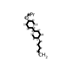 C=CCCC[C@H]1CC[C@H]([C@H]2CC[C@H](OCCC)CC2)CC1